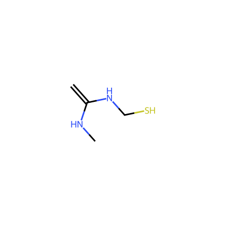 C=C(NC)NCS